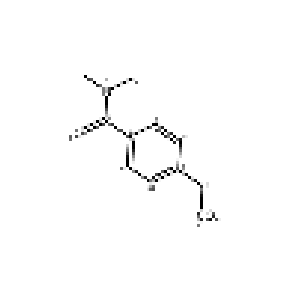 CN(C)C(=O)c1ccc(CC(=O)O)cc1